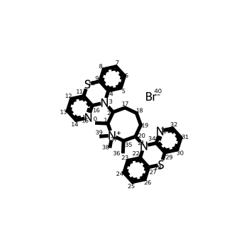 CC1C(N2c3ccccc3Sc3cccnc32)CCCC(N2c3ccccc3Sc3cccnc32)C(C)[N+]1(C)C.[Br-]